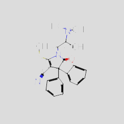 CSC1=C(C#N)C(c2ccccc2)(c2ccccc2)C(=O)N1CC(C)N(C)C